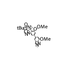 COCOc1cc(-c2cc(OC)c3nn(C)cc3c2)ccc1C1(c2cccnn2)CCN1C(=O)OC(C)(C)C